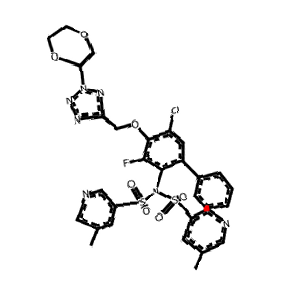 Cc1cncc(S(=O)(=O)N(c2c(-c3ccccc3)cc(Cl)c(OCc3nnn(C4COCCO4)n3)c2F)S(=O)(=O)c2cncc(C)c2)c1